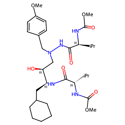 COC(=O)N[C@H](C(=O)N[C@@H](CC1CCCCC1)[C@@H](O)CN(Cc1ccc(OC)cc1)NC(=O)[C@@H](NC(=O)OC)C(C)C)C(C)C